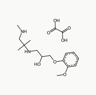 CNCC(C)(C)NCC(O)COc1ccccc1OC.O=C(O)C(=O)O